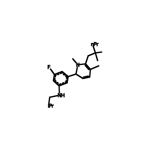 CCCC(C)(C)CC1=C(C)C=CC(c2cc(F)cc(NCC(C)C)c2)N1C